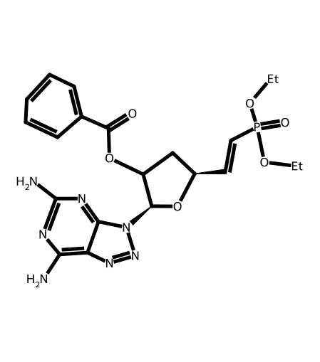 CCOP(=O)(/C=C/[C@@H]1CC(OC(=O)c2ccccc2)[C@H](n2nnc3c(N)nc(N)nc32)O1)OCC